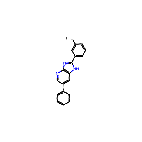 Cc1cccc(-c2nc3ncc(-c4ccccc4)cc3[nH]2)c1